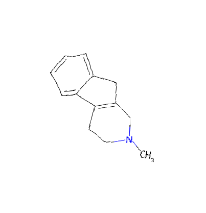 CN1CCC2=C(Cc3ccccc32)C1